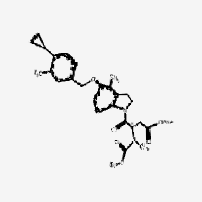 COC(=O)C[C@H](C(=O)N1CCc2c1ccc(OCc1ccc(C3CC3)c(C(F)(F)F)c1)c2C)N(C)C(=O)OC(C)(C)C